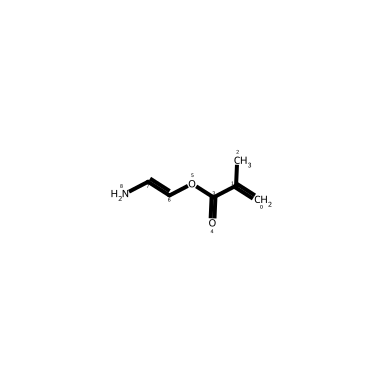 C=C(C)C(=O)OC=CN